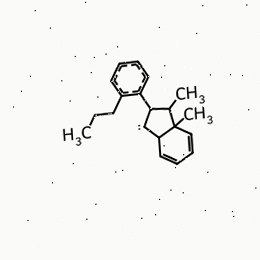 CCCc1ccccc1C1[C]C2C=CC=CC2(C)C1C